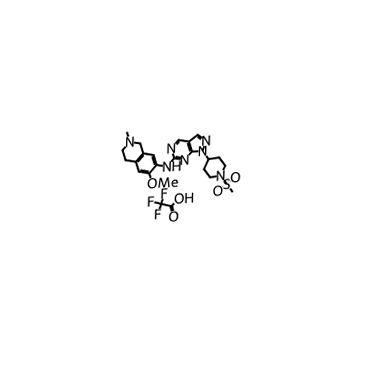 COc1cc2c(cc1Nc1ncc3cnn(C4CCN(S(C)(=O)=O)CC4)c3n1)CN(C)CC2.O=C(O)C(F)(F)F